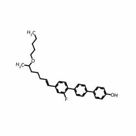 CCCCCOC(C)CCC/C=C/c1ccc(-c2ccc(-c3ccc(O)cc3)cc2)c(F)c1